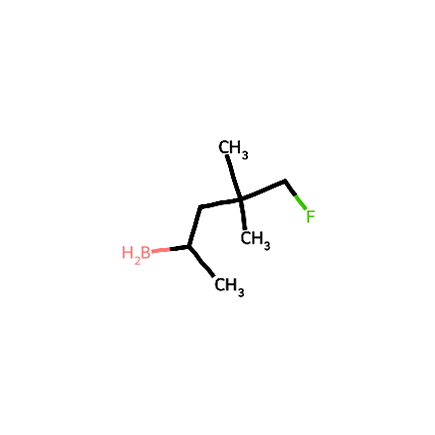 BC(C)CC(C)(C)CF